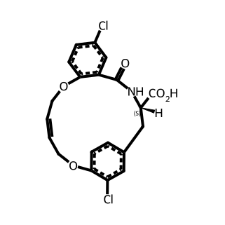 O=C1N[C@H](C(=O)O)Cc2ccc(c(Cl)c2)OCC=CCOc2ccc(Cl)cc21